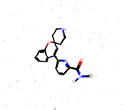 CCN(CC)C(=O)c1cccc(C2=CC3(CCNCC3)Oc3ccccc32)n1